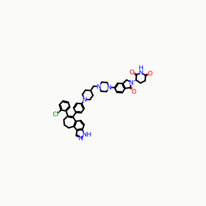 O=C1CC[C@H](N2Cc3cc(N4CCN(CC5CCN(c6ccc(C7=C(c8ccccc8Cl)CCCc8c7ccc7[nH]ncc87)cc6)CC5)CC4)ccc3C2=O)C(=O)N1